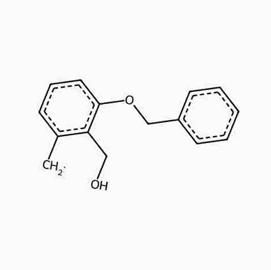 [CH2]c1cccc(OCc2ccccc2)c1CO